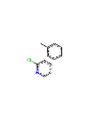 Cc1ccccc1.Clc1ccccn1